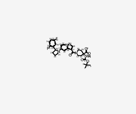 CC(C)(C)OC(=O)NC1(C(=O)O)CCN(C(=O)c2cnn3ccc(N4CCCC4c4cc(F)ccc4F)cc23)CC1